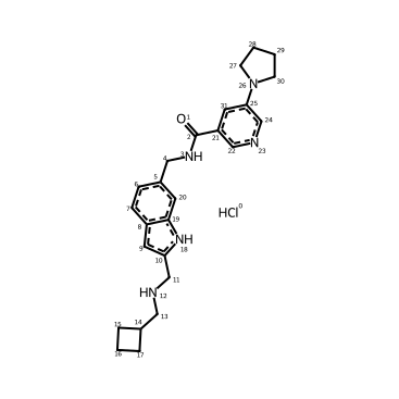 Cl.O=C(NCc1ccc2cc(CNCC3CCC3)[nH]c2c1)c1cncc(N2CCCC2)c1